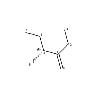 C=C(CC)[C@H](I)CC